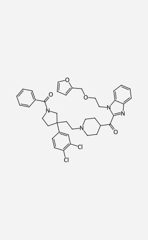 O=C(c1nc2ccccc2n1CCOCc1ccco1)C1CCN(CCC2(c3ccc(Cl)c(Cl)c3)CCN(C(=O)c3ccccc3)C2)CC1